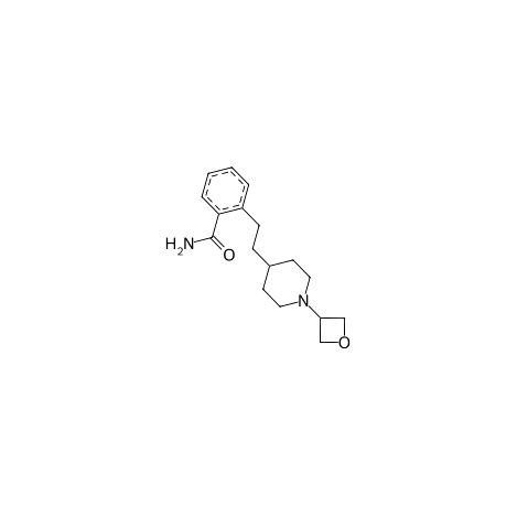 NC(=O)c1ccccc1CCC1CCN(C2COC2)CC1